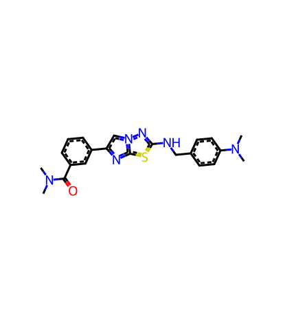 CN(C)C(=O)c1cccc(-c2cn3nc(NCc4ccc(N(C)C)cc4)sc3n2)c1